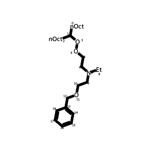 CCCCCCCCC(CCCCCCCC)OOCCN(CC)CCOCc1ccccc1